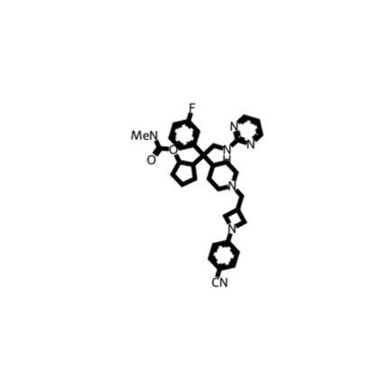 CNC(=O)OC1CCCC1C(CNc1ncccn1)(c1cccc(F)c1)C1CCN(CC2CN(c3ccc(C#N)cc3)C2)CC1